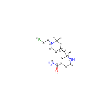 CC1(C)C[C@@H](C2CC23CC(C(N)=O)CCN3)CCN1CCF